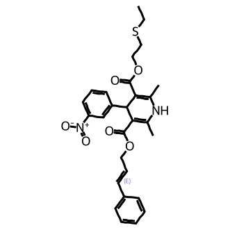 CCSCCOC(=O)C1=C(C)NC(C)=C(C(=O)OC/C=C/c2ccccc2)C1c1cccc([N+](=O)[O-])c1